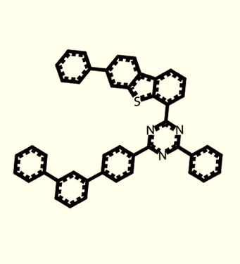 c1ccc(-c2cccc(-c3ccc(-c4nc(-c5ccccc5)nc(-c5cccc6c5sc5cc(-c7ccccc7)ccc56)n4)cc3)c2)cc1